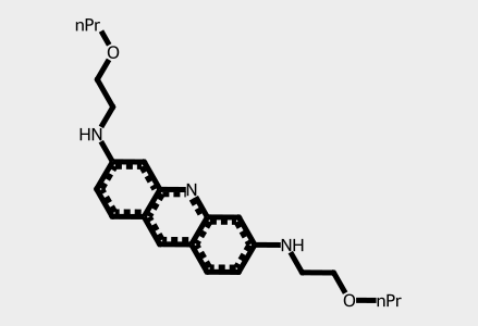 CCCOCCNc1ccc2cc3ccc(NCCOCCC)cc3nc2c1